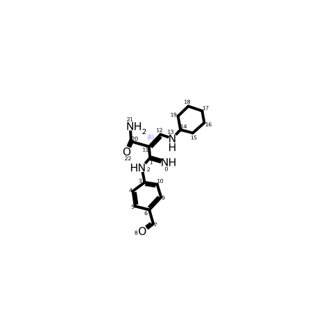 N=C(Nc1ccc(C=O)cc1)/C(=C\NC1CCCCC1)C(N)=O